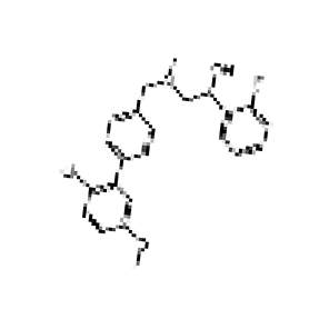 COc1ccc(Cl)c(-c2ccc(CN(C)CC(O)c3ccccc3F)cc2)c1